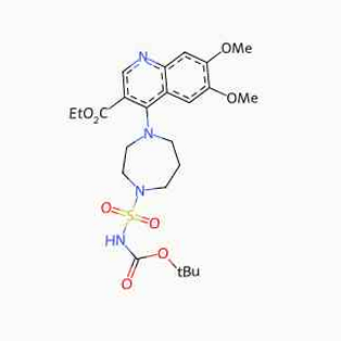 CCOC(=O)c1cnc2cc(OC)c(OC)cc2c1N1CCCN(S(=O)(=O)NC(=O)OC(C)(C)C)CC1